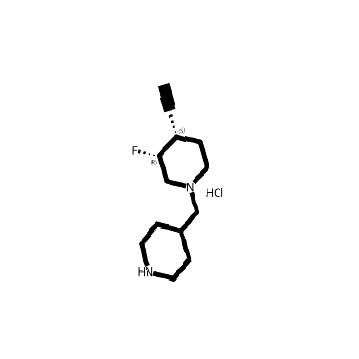 C#C[C@@H]1CCN(CC2CCNCC2)C[C@@H]1F.Cl